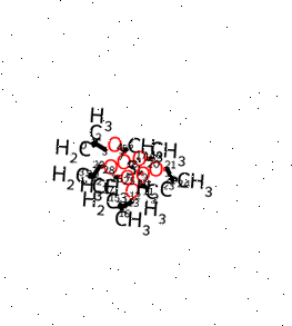 C=C(C)COC(C)O[Si](OC(C)OCC(=C)C)(OC(C)OCC(=C)C)OC(C)OCC(=C)C